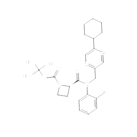 CC(C)(C)OC(=O)N1CC[C@@H]1C(=O)N(Cc1cnc(C2CCCCC2)cn1)c1ccccc1F